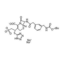 CC(C)(C)OC(=O)NCc1cccc(CC(=O)NC2C(=O)N3C(C(=O)[O-])=C(C(CS(=O)(=O)[O-])Sc4nnn[nH]4)CS[C@@H]23)c1.[Na+].[Na+]